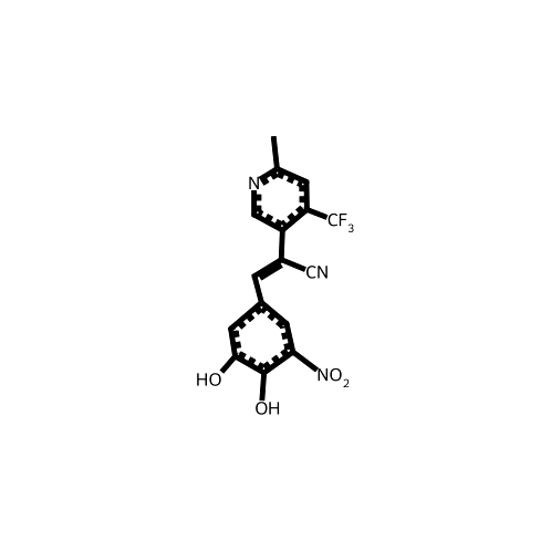 Cc1cc(C(F)(F)F)c(/C(C#N)=C/c2cc(O)c(O)c([N+](=O)[O-])c2)cn1